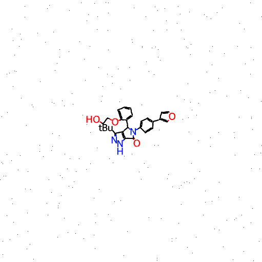 CC(C)(C)c1n[nH]c2c1C(c1ccccc1OCCO)N(c1ccc(-c3ccoc3)cc1)C2=O